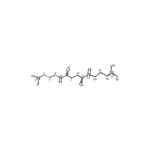 CN(C)CCCNC(=O)CCC(=O)NCCCN(C)C